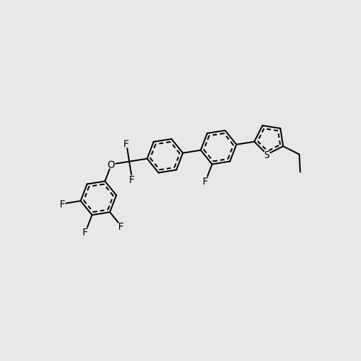 CCc1ccc(-c2ccc(-c3ccc(C(F)(F)Oc4cc(F)c(F)c(F)c4)cc3)c(F)c2)s1